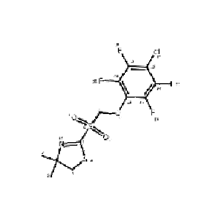 CC1(C)CSC(S(=O)(=O)COc2c(F)c(F)c(Cl)c(F)c2F)=N1